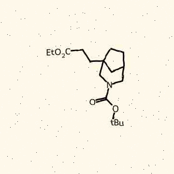 CCOC(=O)CCC12CCC(CN(C(=O)OC(C)(C)C)C1)C2